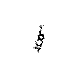 CC(C)OCc1ccc(CC2SC(=O)NC2=O)cc1